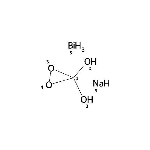 OC1(O)OO1.[BiH3].[NaH]